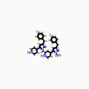 CCCn1nc(Cc2ccc(F)cc2)cc1C1CCNCC1.Cn1nc(Cc2ccc(F)cc2)cc1C1CCNCC1